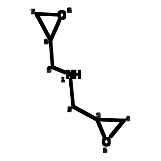 [CH](NCC1CO1)C1CO1